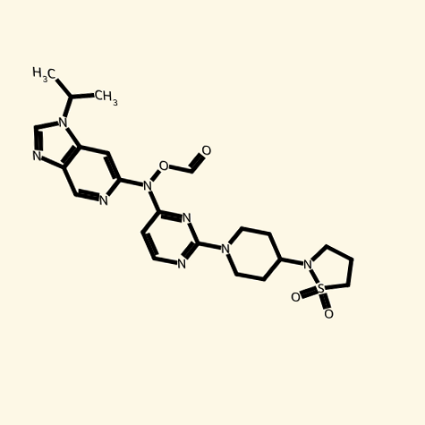 CC(C)n1cnc2cnc(N(OC=O)c3ccnc(N4CCC(N5CCCS5(=O)=O)CC4)n3)cc21